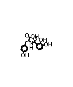 O=C(N[C@@H](Cc1ccc(O)cc1)C(=O)O)c1cccc(O)c1O